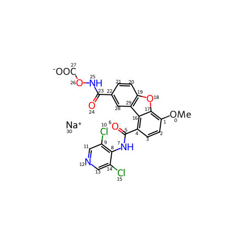 COc1ccc(C(=O)Nc2c(Cl)cncc2Cl)c2c1oc1ccc(C(=O)NOC(=O)[O-])cc12.[Na+]